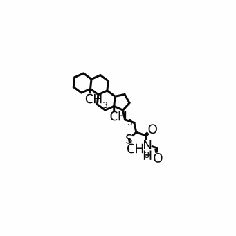 CSC(CCC1CCC2C3CCC4CCCCC4(C)C3CCC12C)C(=O)NC=O